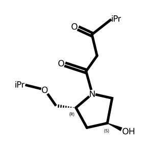 CC(C)OC[C@H]1C[C@H](O)CN1C(=O)CC(=O)C(C)C